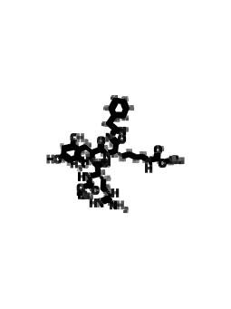 Cc1cc(O)cc(C)c1C[C@H](NC(=O)[C@H](CCNC(=N)N)NC(=O)OC(C)(C)C)C(=O)N[C@@H](CCCCNC(=O)OC(C)(C)C)c1nc(Cc2ccccc2)no1